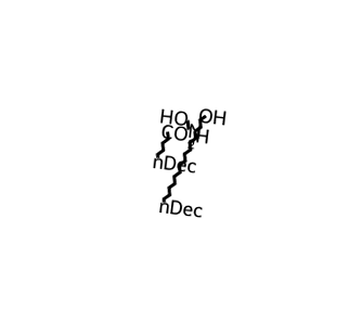 CCCCCCCCCCCCCCC(=O)O.CCCCCCCCCCCCCCCCCCCCCCN(CCO)CCO